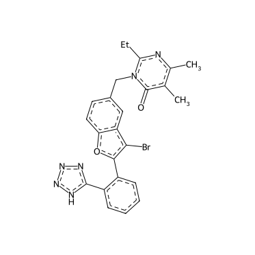 CCc1nc(C)c(C)c(=O)n1Cc1ccc2oc(-c3ccccc3-c3nnn[nH]3)c(Br)c2c1